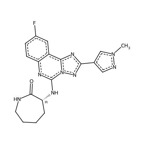 Cn1cc(-c2nc3c4cc(F)ccc4nc(N[C@@H]4CCCCNC4=O)n3n2)cn1